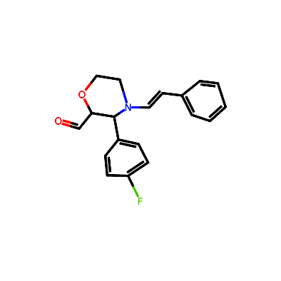 O=CC1OCCN(C=Cc2ccccc2)C1c1ccc(F)cc1